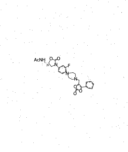 CC(=O)NC[C@H]1CN(c2ccc(N3CCN(Cc4oc(=O)oc4-c4ccccc4)CC3)c(F)c2)C(=O)O1